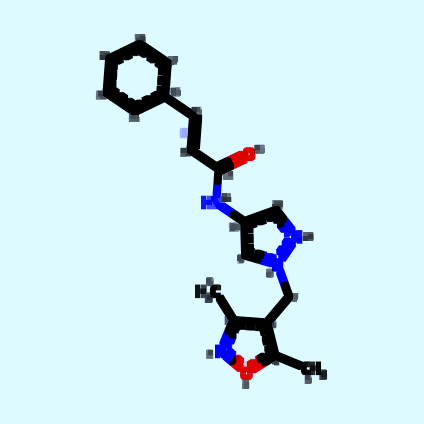 Cc1noc(C)c1Cn1cc(NC(=O)/C=C/c2ccccc2)cn1